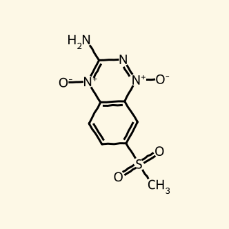 CS(=O)(=O)c1ccc2c(c1)[n+]([O-])nc(N)[n+]2[O-]